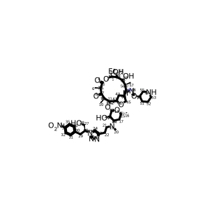 CC[C@H]1OC(=O)[C@H](C)C(=O)[C@H](C)[C@@H](O[C@@H]2O[C@H](C)C[C@H](N(C)CCc3cn([C@H](CO)Cc4ccc([N+](=O)[O-])cc4)nn3)[C@H]2O)[C@@]2(C)C[C@@H](CO2)/C(=N\O[C@@H]2CCCNC2)[C@H](C)[C@@H](O)[C@]1(C)O